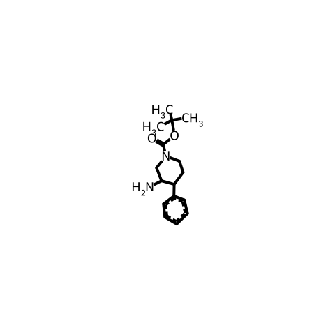 CC(C)(C)OC(=O)N1CCC(c2ccccc2)C(N)C1